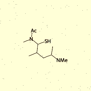 CNC(C)CC(C)C(S)N(C)C(C)=O